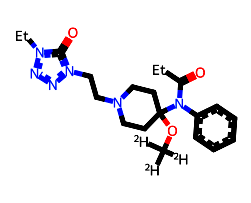 [2H]C([2H])([2H])OC1(N(C(=O)CC)c2ccccc2)CCN(CCn2nnn(CC)c2=O)CC1